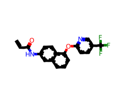 C=CC(=O)Nc1ccc2c(Oc3ccc(C(F)(F)F)cn3)cccc2c1